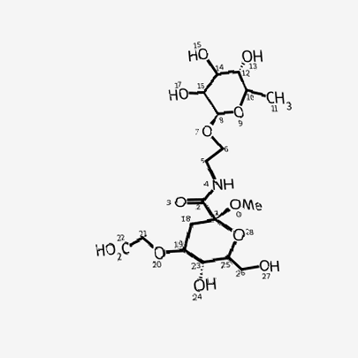 CO[C@]1(C(=O)NCCO[C@@H]2OC(C)[C@@H](O)C(O)C2O)CC(OCC(=O)O)[C@@H](O)C(CO)O1